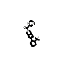 O=C(c1cnccn1)N1C=C2C=C(C3C=CCCC3C(F)(F)F)C=C2C1